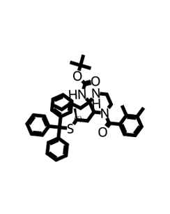 CCCCC1(NC(=O)OC(C)(C)C)NCCN(C(=O)c2cccc(C)c2C)C1C[C@H](C)SC(c1ccccc1)(c1ccccc1)c1ccccc1